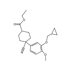 CCOC(=O)C1CCC(C#N)(c2ccc(OC)c(OCC3CC3)c2)CC1